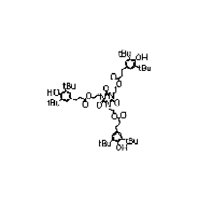 CC(C)(C)c1cc(CCC(=O)OCCn2c(=O)n(CCOC(=O)CCc3cc(C(C)(C)C)c(O)c(C(C)(C)C)c3)c(=O)n(CCOC(=O)CCc3cc(C(C)(C)C)c(O)c(C(C)(C)C)c3)c2=O)cc(C(C)(C)C)c1O